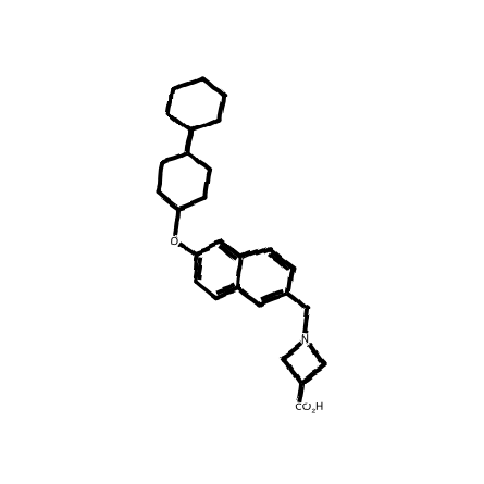 O=C(O)C1CN(Cc2ccc3cc(OC4CCC(C5CCCCC5)CC4)ccc3c2)C1